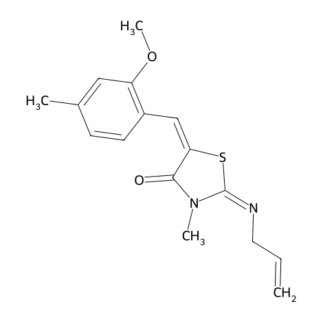 C=CC/N=C1/S/C(=C/c2ccc(C)cc2OC)C(=O)N1C